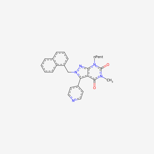 CCCCCn1c(=O)n(C)c(=O)c2c(-c3ccncc3)n(Cc3cccc4ccccc34)nc21